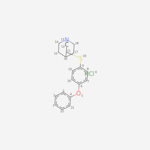 Cl.c1ccc(Oc2ccc(SC3CN4CCC3CC4)cc2)cc1